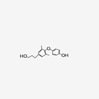 Cc1cc(CCCO)cc(C)c1Oc1ccc(O)cc1